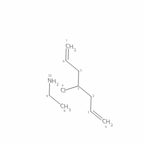 C=CCC(Cl)CC=C.CCN